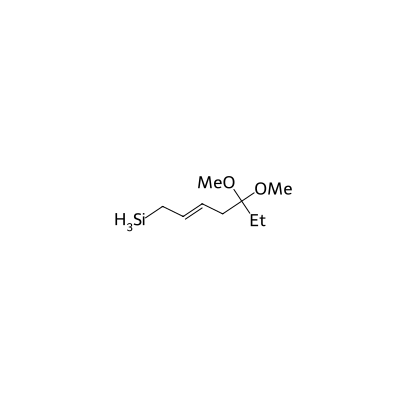 CCC(CC=CC[SiH3])(OC)OC